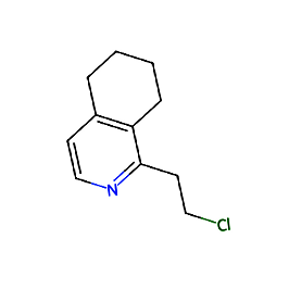 ClCCc1nccc2c1CCCC2